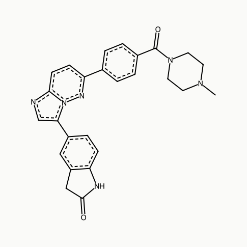 CN1CCN(C(=O)c2ccc(-c3ccc4ncc(-c5ccc6c(c5)CC(=O)N6)n4n3)cc2)CC1